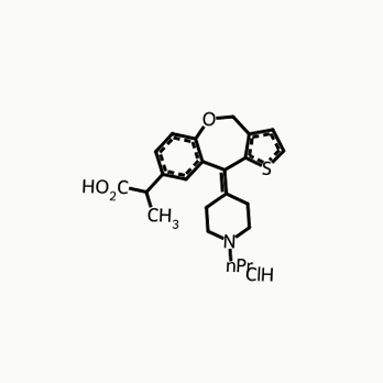 CCCN1CCC(=C2c3cc(C(C)C(=O)O)ccc3OCc3ccsc32)CC1.Cl